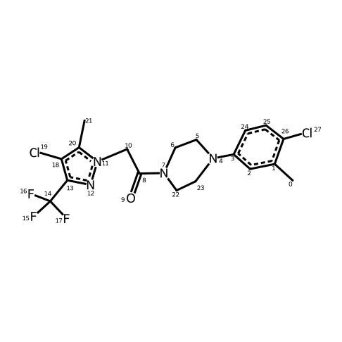 Cc1cc(N2CCN(C(=O)Cn3nc(C(F)(F)F)c(Cl)c3C)CC2)ccc1Cl